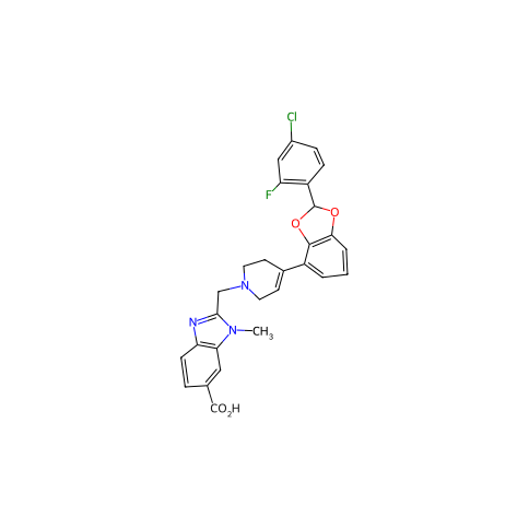 Cn1c(CN2CC=C(c3cccc4c3OC(c3ccc(Cl)cc3F)O4)CC2)nc2ccc(C(=O)O)cc21